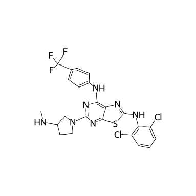 CNC1CCN(c2nc(Nc3ccc(C(F)(F)F)cc3)c3nc(Nc4c(Cl)cccc4Cl)sc3n2)C1